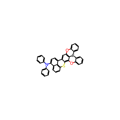 c1ccc(N(c2ccccc2)c2ccc3c4c(cccc24)Sc2c-3cc3c4c2Oc2ccccc2B4c2ccccc2O3)cc1